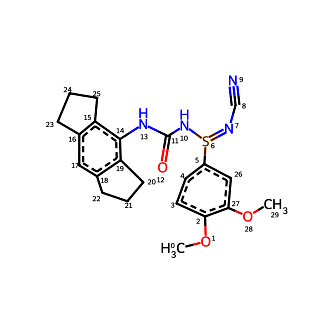 COc1ccc(/S(=N/C#N)NC(=O)Nc2c3c(cc4c2CCC4)CCC3)cc1OC